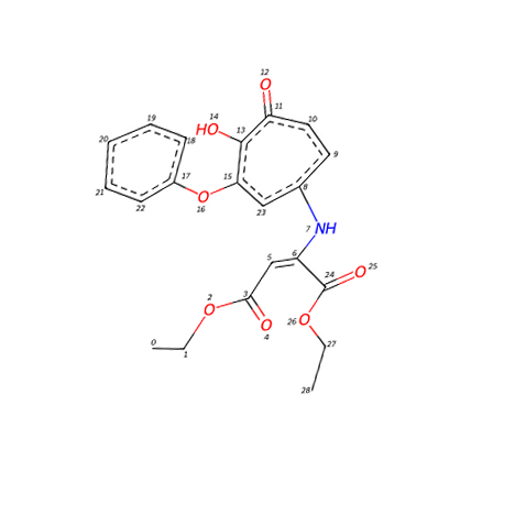 CCOC(=O)C=C(Nc1ccc(=O)c(O)c(Oc2ccccc2)c1)C(=O)OCC